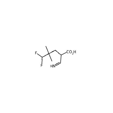 CC(C)(CC(C=N)C(=O)O)C(F)F